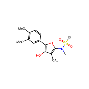 CCS(=O)(=O)N(C)c1oc(-c2ccc(OC)c(OC)c2)c(O)c1OC(C)=O